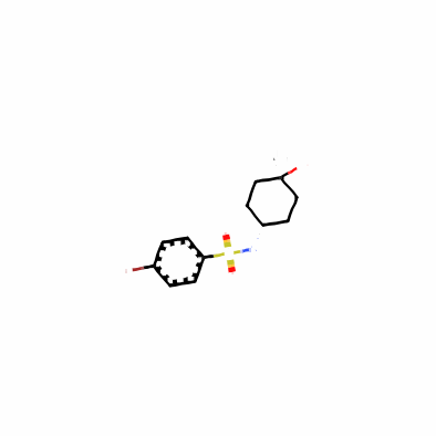 C[C@]1(O)CC[C@H](NS(=O)(=O)c2ccc(Br)cc2)CC1